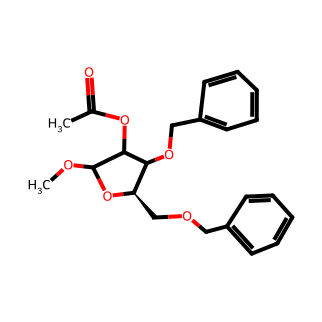 COC1O[C@H](COCc2ccccc2)C(OCc2ccccc2)C1OC(C)=O